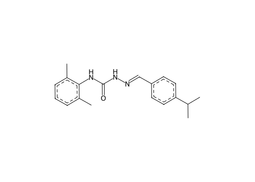 Cc1cccc(C)c1NC(=O)N/N=C/c1ccc(C(C)C)cc1